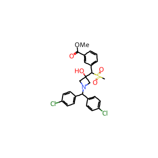 COC(=O)c1cccc(C(C2(O)CN(C(c3ccc(Cl)cc3)c3ccc(Cl)cc3)C2)S(C)(=O)=O)c1